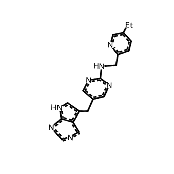 CCc1ccc(CNc2ncc(Cc3c[nH]c4ncncc34)cn2)nc1